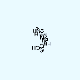 CCNC(=S)Nc1cnc2ccc(Nc3ccc(O)c(OC)c3)nc2n1